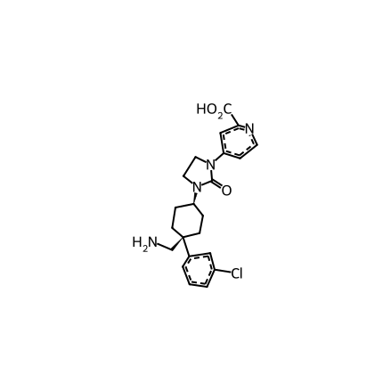 NC[C@]1(c2cccc(Cl)c2)CC[C@H](N2CCN(c3ccnc(C(=O)O)c3)C2=O)CC1